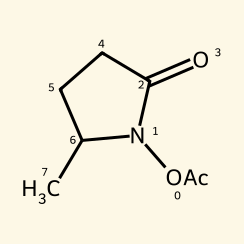 CC(=O)ON1C(=O)CCC1C